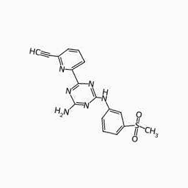 C#Cc1cccc(-c2nc(N)nc(Nc3cccc(S(C)(=O)=O)c3)n2)n1